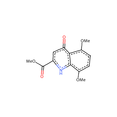 COC(=O)c1cc(=O)c2c(OC)ccc(OC)c2[nH]1